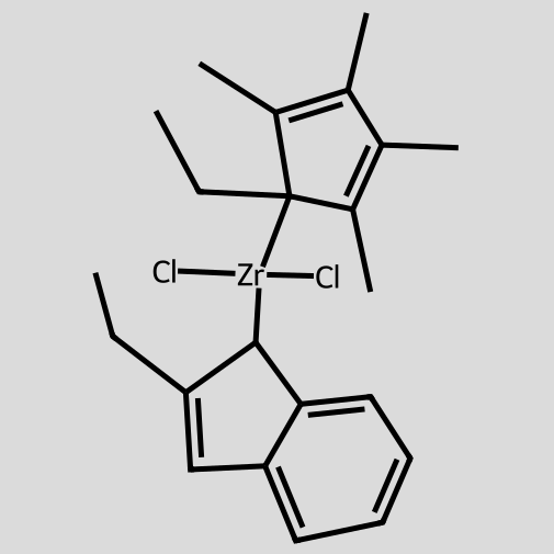 CCC1=Cc2ccccc2[CH]1[Zr]([Cl])([Cl])[C]1(CC)C(C)=C(C)C(C)=C1C